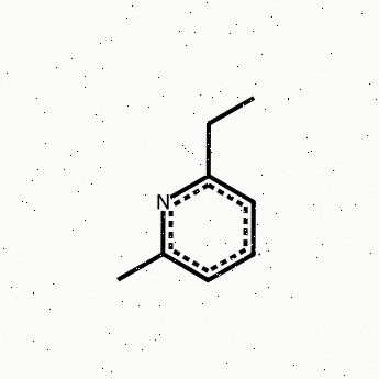 CCc1c[c]cc(C)n1